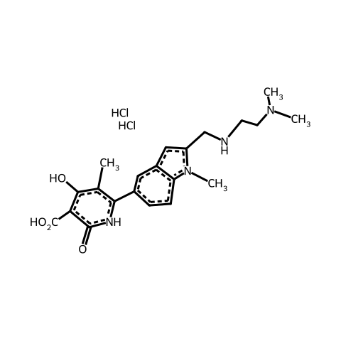 Cc1c(-c2ccc3c(c2)cc(CNCCN(C)C)n3C)[nH]c(=O)c(C(=O)O)c1O.Cl.Cl